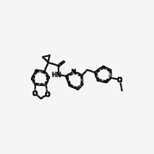 C=C(Nc1cccc(Cc2ccc(OC)cc2)n1)C1(c2ccc3c(c2)OCO3)CC1